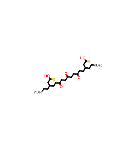 CCCCCCCCCCCCC(CCC(=O)CCC(=O)CCC(=O)CCC(CCCCCCCCCCCC)CC(O)=S)CC(O)=S